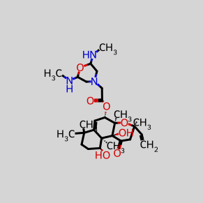 C=C[C@@]1(C)CC(=O)[C@@]2(O)[C@](C)(O1)[C@@H](OC(=O)CN1CC(NC)OC(NC)C1)C=C1C(C)(C)CC[C@H](O)[C@@]12C